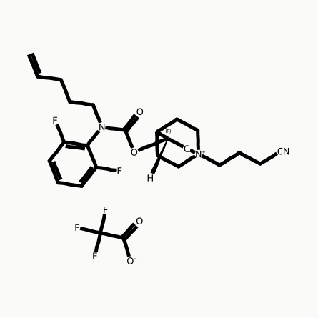 C=CCCCN(C(=O)O[C@H]1C[N+]2(CCCC#N)CCC1CC2)c1c(F)cccc1F.O=C([O-])C(F)(F)F